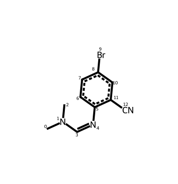 CN(C)/C=N\c1ccc(Br)cc1C#N